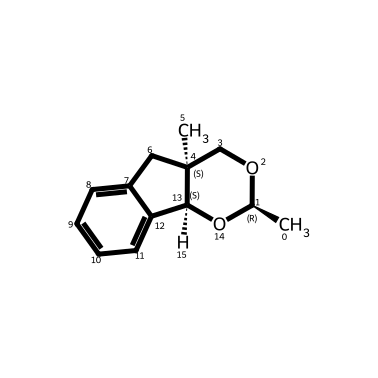 C[C@@H]1OC[C@]2(C)Cc3ccccc3[C@@H]2O1